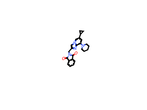 O=C1c2ccccc2C(=O)N1Cc1cn2cc(C3CC3)cc(N3CCCCC3)c2n1